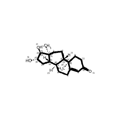 C[C@]12CC[C@H]3[C@@H](CCC4=CC(=O)CC[C@@]43C)[C@@H]1C[C@H](O)[C@H]2O